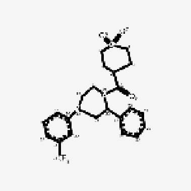 O=C(C1CCS(=O)(=O)CC1)N1CCN(c2cccc(C(F)(F)F)c2)CC1c1ccccc1